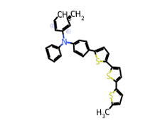 C=C/C=C(\C=C/C)N(c1ccccc1)c1ccc(-c2ccc(-c3ccc(-c4ccc(C)s4)s3)s2)cc1